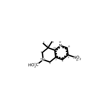 CC1(C)CN(C(=O)O)Cc2cc([N+](=O)[O-])cnc21